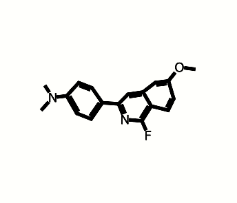 COc1ccc2c(F)nc(-c3ccc(N(C)C)cc3)cc2c1